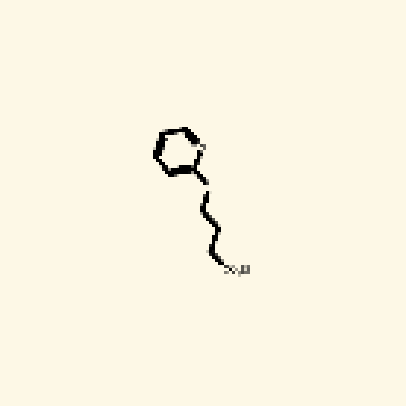 CCOC(=O)CCCSc1ccccn1